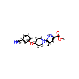 COC(=O)c1cc(C)c(N2CCC(Oc3cccc(C#N)c3)CC2)nn1